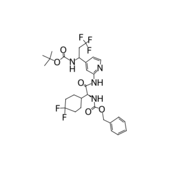 CC(C)(C)OC(=O)NC(CC(F)(F)F)c1ccnc(NC(=O)[C@@H](NC(=O)OCc2ccccc2)C2CCC(F)(F)CC2)c1